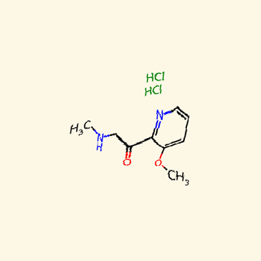 CNCC(=O)c1ncccc1OC.Cl.Cl